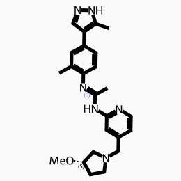 CO[C@H]1CCN(Cc2ccnc(N/C(C)=N/c3ccc(-c4cn[nH]c4C)cc3C)c2)C1